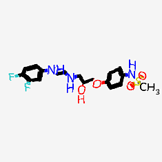 CS(=O)(=O)Nc1ccc(OC[C@H](O)CNCCNc2ccc(F)c(F)c2)cc1